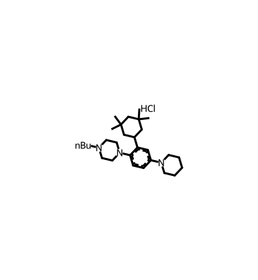 CCCCN1CCN(c2ccc(N3CCCCC3)cc2C2CC(C)(C)CC(C)(C)C2)CC1.Cl